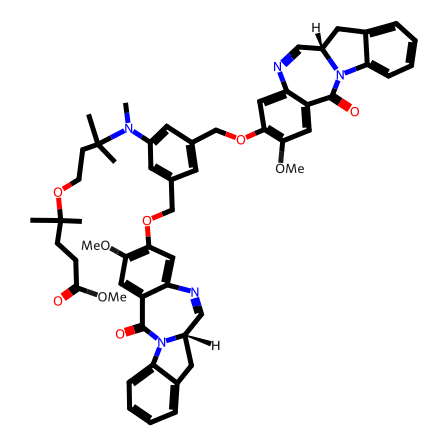 COC(=O)CCC(C)(C)OCCC(C)(C)N(C)c1cc(COc2cc3c(cc2OC)C(=O)N2c4ccccc4C[C@H]2C=N3)cc(COc2cc3c(cc2OC)C(=O)N2c4ccccc4C[C@H]2C=N3)c1